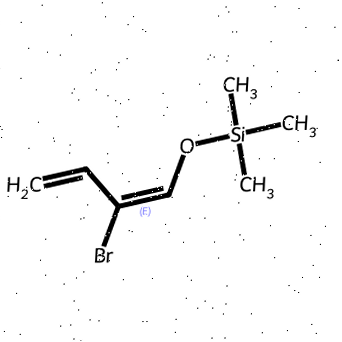 C=C/C(Br)=C\O[Si](C)(C)C